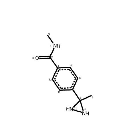 CNC(=O)c1ccc(C2(C)NN2)cc1